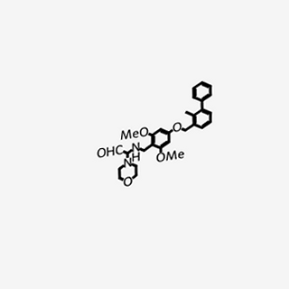 COc1cc(OCc2cccc(-c3ccccc3)c2C)cc(OC)c1CNC(C=O)N1CCOCC1